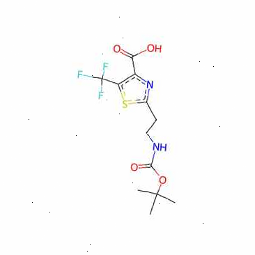 CC(C)(C)OC(=O)NCCc1nc(C(=O)O)c(C(F)(F)F)s1